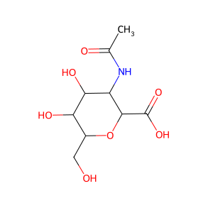 CC(=O)NC1C(C(=O)O)OC(CO)C(O)C1O